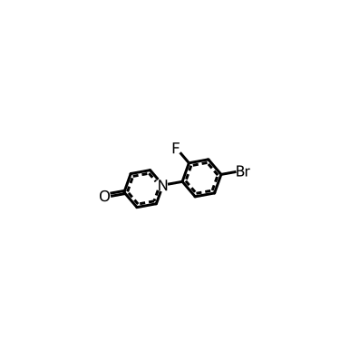 O=c1ccn(-c2ccc(Br)cc2F)cc1